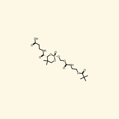 CC(C)(C)C(=O)OCCNC(=O)OCO[P@]1(=O)OCC(C)(C)[C@H](C(=O)NCCC(=O)O)O1